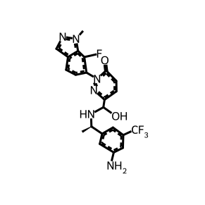 C[C@@H](NC(O)c1ccc(=O)n(-c2ccc3cnn(C)c3c2F)n1)c1cc(N)cc(C(F)(F)F)c1